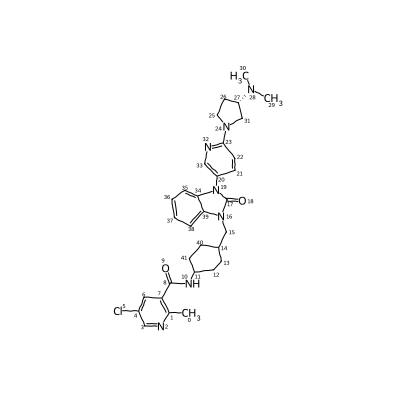 Cc1ncc(Cl)cc1C(=O)NC1CCC(Cn2c(=O)n(-c3ccc(N4CC[C@H](N(C)C)C4)nc3)c3ccccc32)CC1